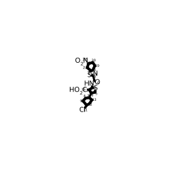 O=C(Nc1scc(-c2ccc(Cl)cc2)c1C(=O)O)c1nc2ccc([N+](=O)[O-])cc2s1